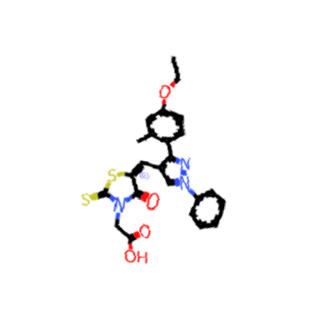 CCOc1ccc(-c2nn(-c3ccccc3)cc2/C=C2/SC(=S)N(CC(=O)O)C2=O)c(C)c1